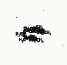 Cc1ccc(S(=O)(=O)OCC(C)OCC(C)OCC(C)OCC(C)OCC(C)OCC(C)OS(=O)(=O)c2ccc(C)cc2)cc1